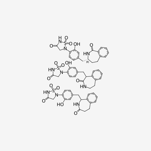 O=C1CCc2ccccc2C(Cc2ccc(N3CC(=O)NS3(=O)=O)c(O)c2)N1.O=C1CN(c2ccc(CC3C(=O)NCCc4ccccc43)cc2O)S(=O)(=O)N1.O=C1CN(c2ccc(C[C@H]3CCc4ccccc4C(=O)N3)cc2O)S(=O)(=O)N1